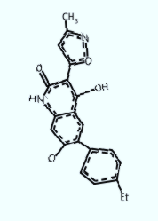 CCc1ccc(-c2cc3c(O)c(-c4cc(C)no4)c(=O)[nH]c3cc2Cl)cc1